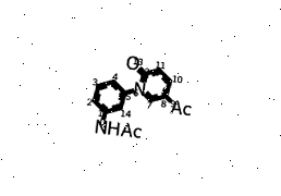 CC(=O)Nc1cccc(-n2cc(C(C)=O)ccc2=O)c1